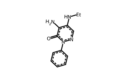 CCNc1cnn(-c2ccccc2)c(=O)c1N